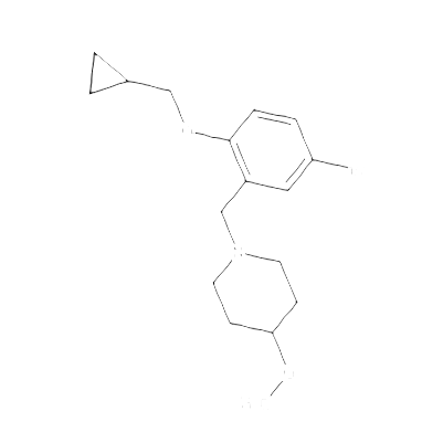 COC1CCN(Cc2cc(Br)ccc2OCC2CC2)CC1